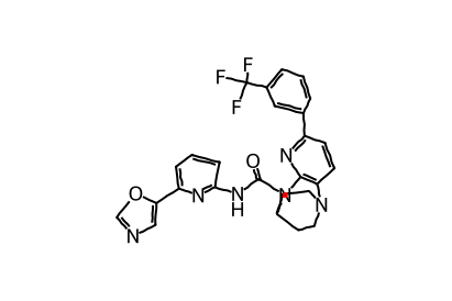 O=C(Nc1cccc(-c2cnco2)n1)N1c2nc(-c3cccc(C(F)(F)F)c3)ccc2N2CCC1CC2